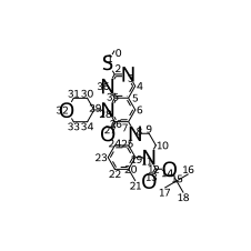 CSc1ncc2cc(N3CCN(C(=O)OC(C)(C)C)c4c(C)cccc43)c(=O)n(C3CCOCC3)c2n1